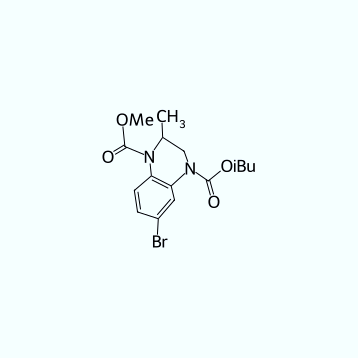 COC(=O)N1c2ccc(Br)cc2N(C(=O)OCC(C)C)CC1C